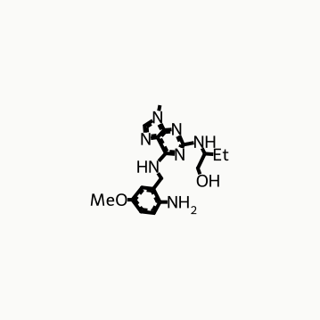 CCC(CO)Nc1nc(NCc2cc(OC)ccc2N)c2ncn(C)c2n1